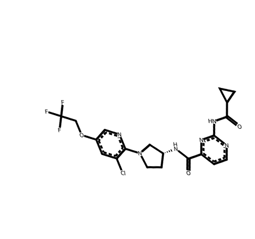 O=C(N[C@@H]1CCN(c2ncc(OCC(F)(F)F)cc2Cl)C1)c1ccnc(NC(=O)C2CC2)n1